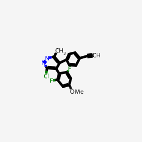 C#Cc1ccc(-c2c(C)nnc(Cl)c2-c2c(F)cc(OC)cc2F)cc1